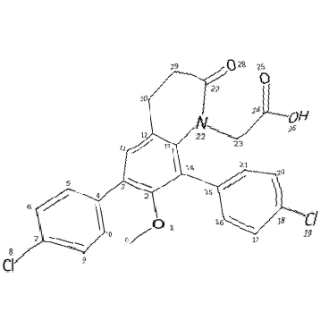 COc1c(-c2ccc(Cl)cc2)cc2c(c1-c1ccc(Cl)cc1)N(CC(=O)O)C(=O)CC2